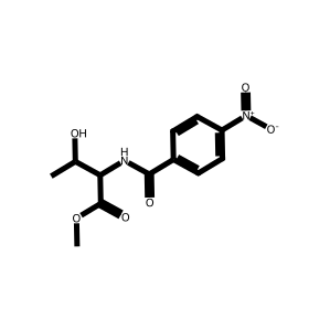 COC(=O)C(NC(=O)c1ccc([N+](=O)[O-])cc1)C(C)O